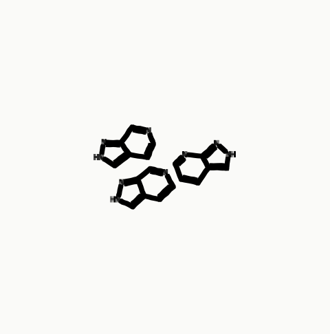 c1cc2c[nH]nc2cn1.c1cc2c[nH]nc2cn1.c1cnc2n[nH]cc2c1